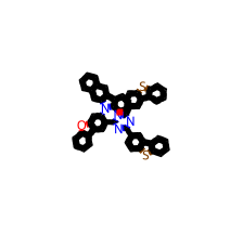 c1ccc2cc3c(cc2c1)c1ccccc1n3-c1cc2oc3ccccc3c2cc1-c1nc(-c2ccc3sc4ccccc4c3c2)nc(-c2ccc3sc4ccccc4c3c2)n1